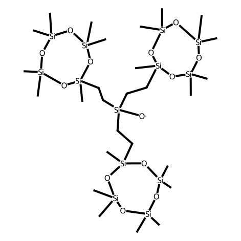 C[Si]1(C)O[Si](C)(C)O[Si](C)(CC[Si]([O])(CC[Si]2(C)O[Si](C)(C)O[Si](C)(C)O[Si](C)(C)O2)CC[Si]2(C)O[Si](C)(C)O[Si](C)(C)O[Si](C)(C)O2)O[Si](C)(C)O1